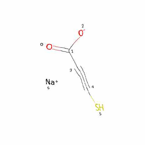 O=C([O-])C#CS.[Na+]